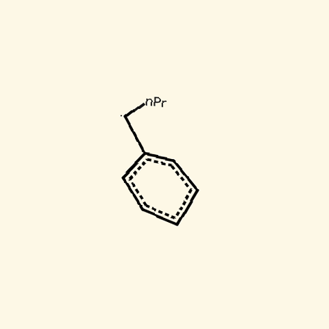 C[CH]C[CH]c1ccccc1